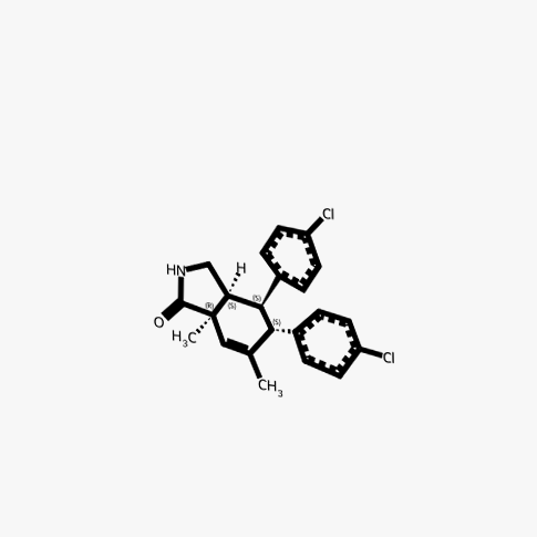 CC1=C[C@@]2(C)C(=O)NC[C@H]2[C@@H](c2ccc(Cl)cc2)[C@@H]1c1ccc(Cl)cc1